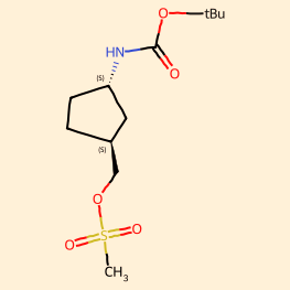 CC(C)(C)OC(=O)N[C@H]1CC[C@H](COS(C)(=O)=O)C1